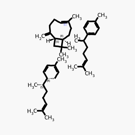 C=C1CC/C=C(\C)CC[C@@H]2[C@@H]1CC2(C)C.CC(C)=CCCC(C)c1ccc(C)cc1.CC(C)=CCC[C@H](C)[C@@H]1C=CC(C)=CC1